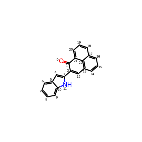 O=C1C(c2cc3ccccc3[nH]2)=Cc2cccc3cccc1c23